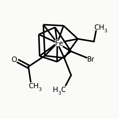 CC[C]12[CH]3[CH]4[C]5(C(C)=O)[C]1(CC)[Fe]34251678[CH]2[CH]1[CH]6[C]7(Br)[CH]28